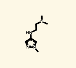 CN(C)CCNc1cnn(C)c1